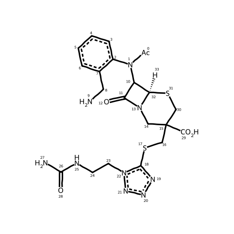 CC(=O)N(c1ccccc1CN)C1C(=O)N2CC(CSc3nnnn3CCNC(N)=O)(C(=O)O)CS[C@H]12